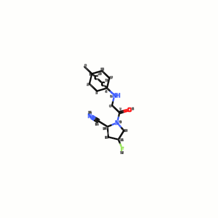 CC12CCC(NCC(=O)N3CC(F)CC3C#N)(CC1)CC2